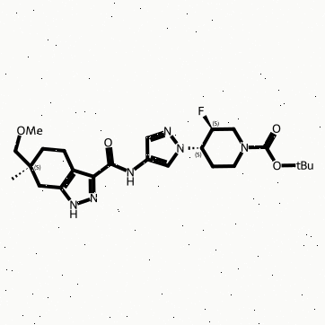 COC[C@@]1(C)CCc2c(C(=O)Nc3cnn([C@H]4CCN(C(=O)OC(C)(C)C)C[C@@H]4F)c3)n[nH]c2C1